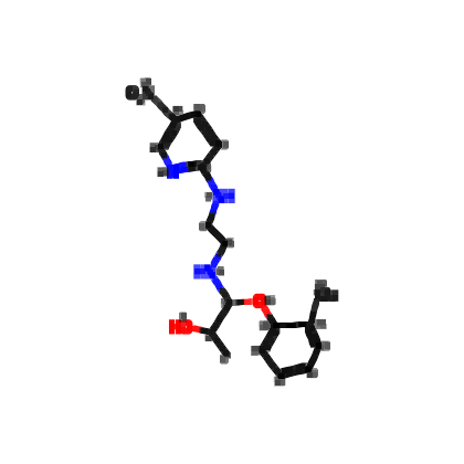 CC(O)C(NCCNc1ccc([N+](=O)[O-])cn1)Oc1ccccc1C(C)(C)C